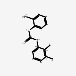 CCCc1ccccc1OC(=O)Oc1cccc(C)c1C